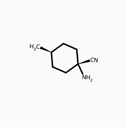 C[C@H]1CC[C@@](N)(C#N)CC1